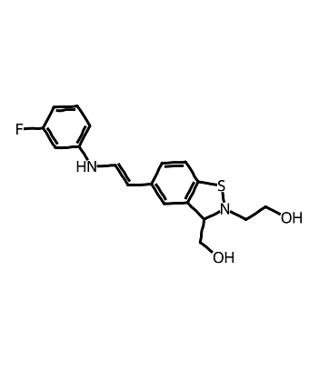 OCCN1Sc2ccc(/C=C/Nc3cccc(F)c3)cc2C1CO